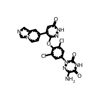 Nc1nn(-c2cc(Cl)c(Oc3n[nH]c(=O)cc3-c3ccn4cncc4c3)c(Cl)c2)c(=O)[nH]c1=O